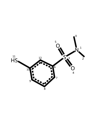 CN(C)S(=O)(=O)c1cccc(S)c1